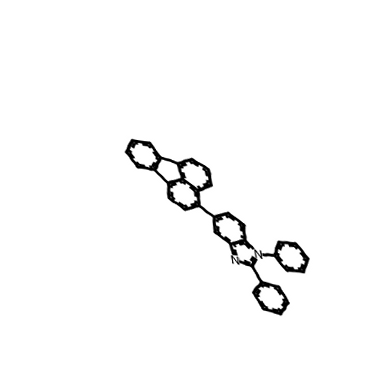 c1ccc(-c2nc3cc(-c4ccc5c6c(cccc46)-c4ccccc4-5)ccc3n2-c2ccccc2)cc1